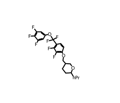 CCCC1CCC(COc2ccc(C(F)(F)Oc3cc(F)c(F)c(F)c3)c(F)c2F)CO1